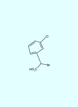 O=C(O)C(Br)c1cccc(Cl)c1